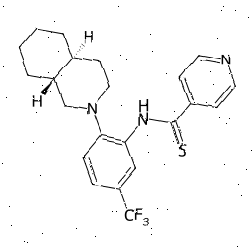 FC(F)(F)c1ccc(N2CC[C@@H]3CCCC[C@H]3C2)c(NC(=S)c2ccncc2)c1